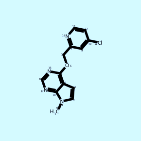 Cn1ccc2c(OCc3cc(Cl)ccn3)ncnc21